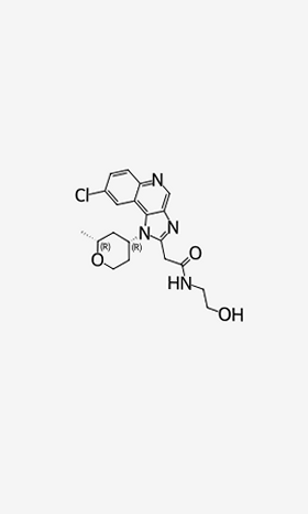 C[C@@H]1C[C@H](n2c(CC(=O)NCCO)nc3cnc4ccc(Cl)cc4c32)CCO1